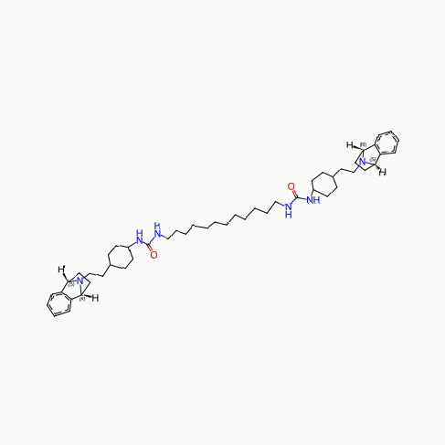 O=C(NCCCCCCCCCCCCNC(=O)NC1CCC(CCN2[C@@H]3CC[C@H]2c2ccccc23)CC1)NC1CCC(CCN2[C@@H]3CC[C@H]2c2ccccc23)CC1